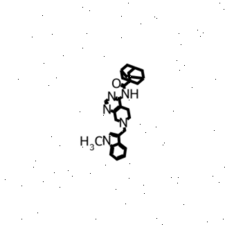 Cn1cc(CN2CCc3c(ncnc3NC(=O)C34CC5CC(CC(C5)C3)C4)C2)c2ccccc21